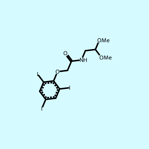 COC(CNC(=O)COc1c(I)cc(I)cc1I)OC